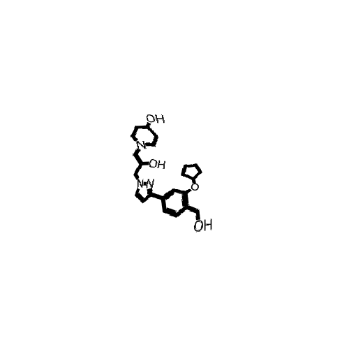 OCc1ccc(-c2ccn(CC(O)CN3CCC(O)CC3)n2)cc1OC1CCCC1